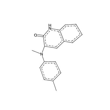 Cc1ccc(N(C)c2cc3ccccc3[nH]c2=O)cc1